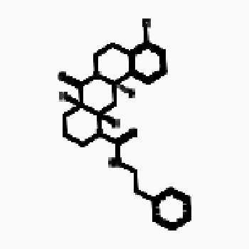 O=C1[C@H]2CCCN(C(=O)NCCc3ccccc3)[C@H]2C[C@@H]2c3cccc(Cl)c3CCN12